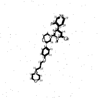 Cn1c(N2CCO[C@@H](c3ccc(OCCCN4CCOCC4)cc3)C2)nc(-c2ccncc2F)cc1=O